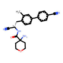 Cc1cc(-c2ccc(C#N)cc2)ccc1C[C@@H](C#N)NC(=O)C1(N)CCOCC1